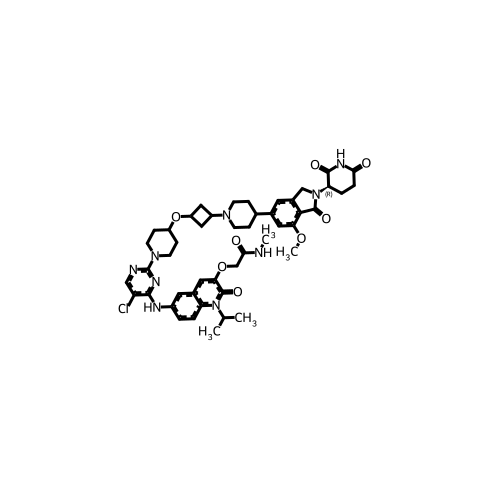 CNC(=O)COc1cc2cc(Nc3nc(N4CCC(OC5CC(N6CCC(c7cc8c(c(OC)c7)C(=O)N([C@@H]7CCC(=O)NC7=O)C8)CC6)C5)CC4)ncc3Cl)ccc2n(C(C)C)c1=O